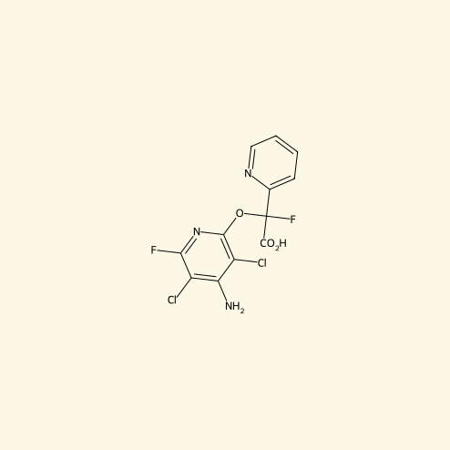 Nc1c(Cl)c(F)nc(OC(F)(C(=O)O)c2ccccn2)c1Cl